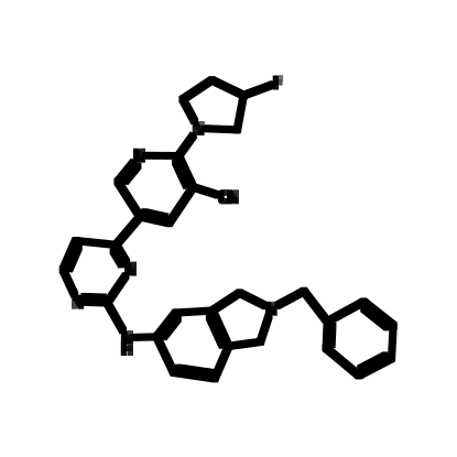 N#Cc1cc(-c2ccnc(Nc3ccc4c(c3)CN(Cc3ccccc3)C4)n2)cnc1N1CCC(F)C1